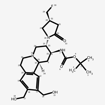 CC(C)(C)OC(=O)N[C@H]1C[C@H]2c3cc(CO)c(CO)cc3CCN2C[C@@H]1N1C[C@@H](CF)CC1=O